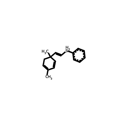 CC1=CCC(C)(C=C[SiH2]c2ccccc2)C=C1